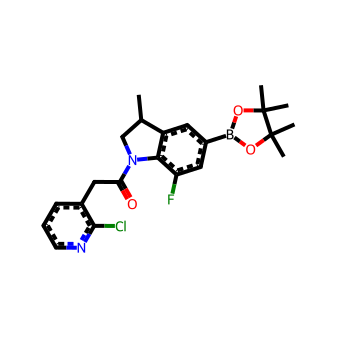 CC1CN(C(=O)Cc2cccnc2Cl)c2c(F)cc(B3OC(C)(C)C(C)(C)O3)cc21